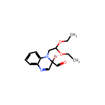 CCOC(CN1c2ccccc2N=CC1(Br)C=O)OCC